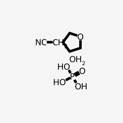 C1CCOC1.CC#N.O.O=P(O)(O)O